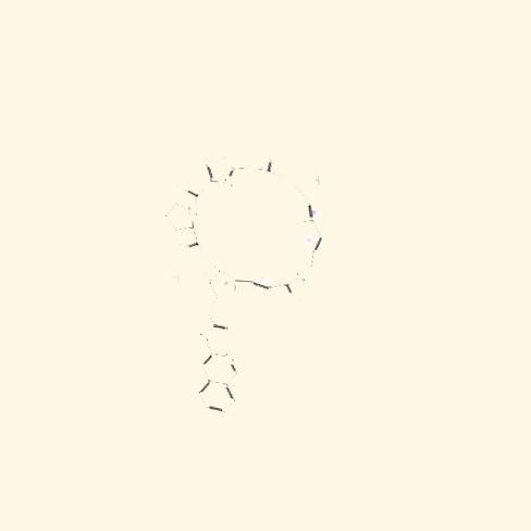 CC1=C\[C@@H](O)CC(=O)Cc2nc(co2)C(=O)N2CCC[C@@H]2C(=O)O[C@H]([C@@H](C)COC(=O)Nc2cc3ccccc3cn2)[C@H](C)/C=C/C(=O)NC\C=C\1